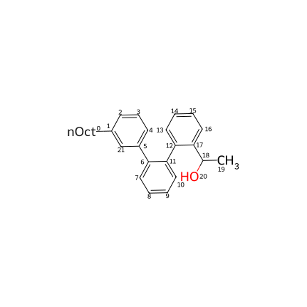 CCCCCCCCc1cccc(-c2ccccc2-c2ccccc2C(C)O)c1